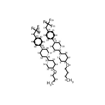 CCCCO[C@H]1CC[C@H]([C@H]2CC[C@H](c3ccc(CC(F)(F)F)cc3)CC2)CC1.CCCO[C@H]1CC[C@H]([C@H]2CC[C@H](c3ccc(CC(F)(F)F)cc3)CC2)CC1